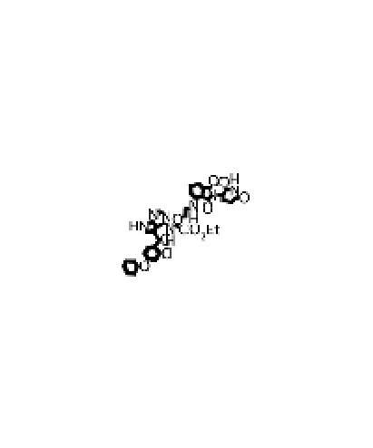 CCOC(=O)C(Nc1ncnc2[nH]cc(C(=O)c3ccc(Oc4ccccc4)cc3Cl)c12)OCCNc1cccc2c1C(=O)N(C1CCC(=O)NC1=O)C2=O